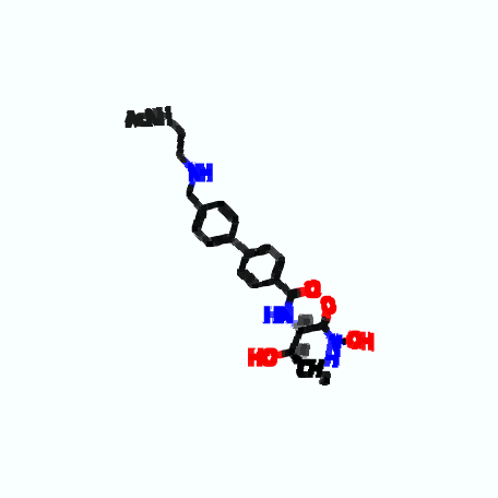 CC(=O)NCCNCc1ccc(-c2ccc(C(=O)N[C@H](C(=O)NO)[C@@H](C)O)cc2)cc1